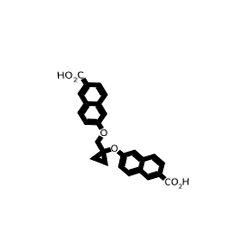 O=C(O)c1ccc2cc(OCC3(Oc4ccc5cc(C(=O)O)ccc5c4)CC3)ccc2c1